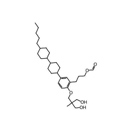 CCCCCC1CCC(C2CCC(c3ccc(OCC(C)(CO)CO)c(CCCOC=O)c3)CC2)CC1